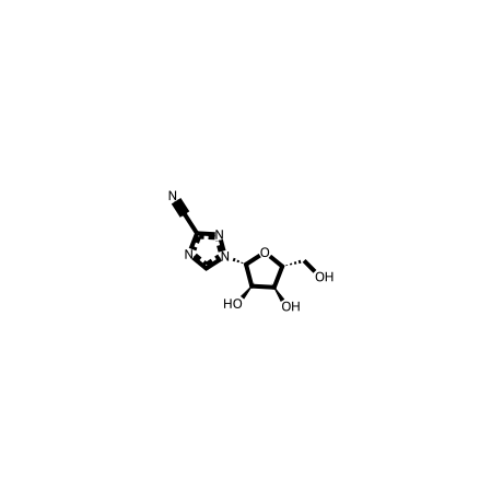 N#Cc1ncn([C@@H]2O[C@H](CO)[C@@H](O)[C@H]2O)n1